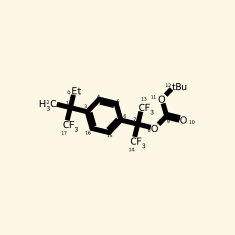 CCC(C)(c1ccc(C(OC(=O)OC(C)(C)C)(C(F)(F)F)C(F)(F)F)cc1)C(F)(F)F